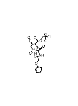 O=C=C1C[S+]([O-])[C@@H]2C(NC(=O)COc3ccccc3)C(=O)N2C1C(=O)OCC(Cl)(Cl)Cl